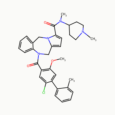 COc1cc(-c2ccccc2C)c(Cl)cc1C(=O)N1Cc2ccc(C(=O)N(C)C3CCN(C)CC3)n2Cc2ccccc21